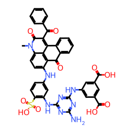 Cn1c(=O)c(C(=O)c2ccccc2)c2c3c(c(Nc4ccc(S(=O)(=O)O)c(Nc5nc(N)nc(Nc6cc(C(=O)O)cc(C(=O)O)c6)n5)c4)ccc31)C(=O)c1ccccc1-2